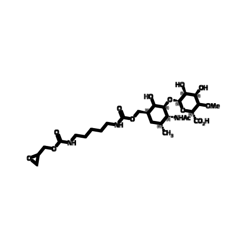 COC1[C@H](C(=O)O)O[C@H](O[C@@H]2C(O)[C@H](COC(=O)NCCCCCNC(=O)OCC3CO3)C[C@@H](C)[C@H]2NC(C)=O)[C@@H](O)[C@H]1O